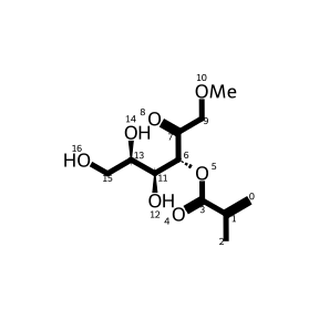 C=C(C)C(=O)O[C@@H](C(=O)COC)[C@@H](O)[C@H](O)CO